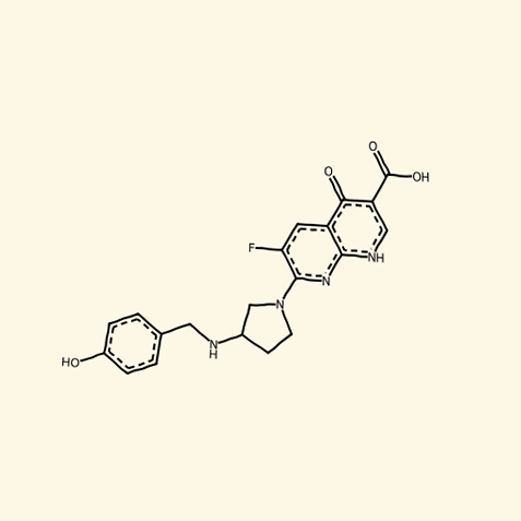 O=C(O)c1c[nH]c2nc(N3CCC(NCc4ccc(O)cc4)C3)c(F)cc2c1=O